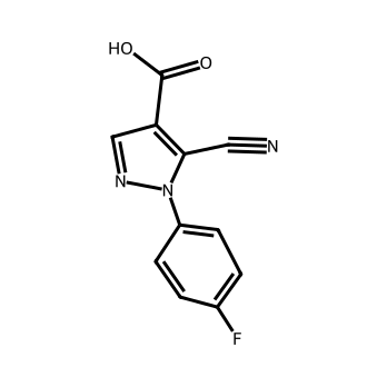 N#Cc1c(C(=O)O)cnn1-c1ccc(F)cc1